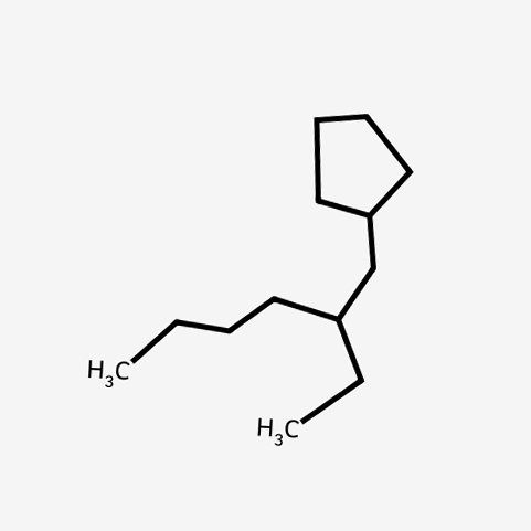 CCCCC(CC)CC1CCCC1